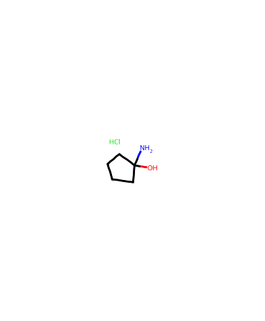 Cl.NC1(O)CCCC1